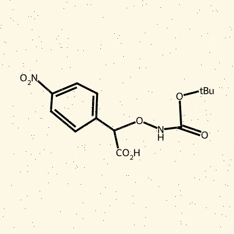 CC(C)(C)OC(=O)NOC(C(=O)O)c1ccc([N+](=O)[O-])cc1